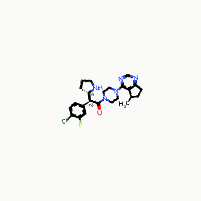 CC1CCc2ncnc(N3CCN(C(=O)[C@@H](c4ccc(Cl)c(F)c4)[C@@H]4CCCN4)CC3)c21